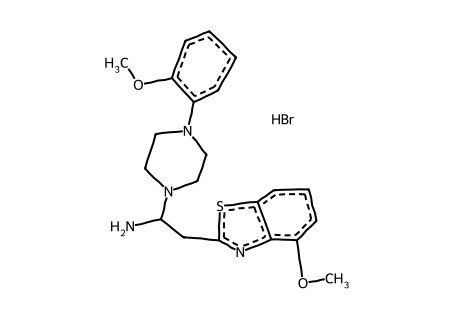 Br.COc1ccccc1N1CCN(C(N)Cc2nc3c(OC)cccc3s2)CC1